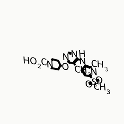 Cc1nc(S(C)(=O)=O)ccc1Nc1ncnc(OC2CCN(C(=O)O)CC2)c1C